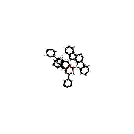 c1ccc(-c2nc(-c3ccccc3)nc(-n3c4ccccc4c4ccc5c6ccccc6n(-c6cccc7nc(-c8cccnc8)oc67)c5c43)n2)cc1